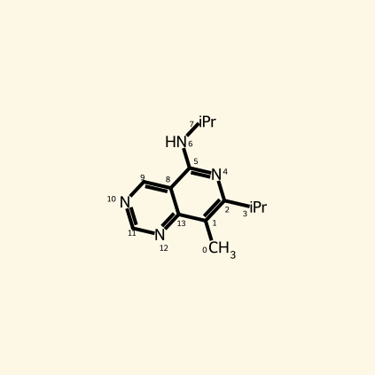 Cc1c(C(C)C)nc(NC(C)C)c2cncnc12